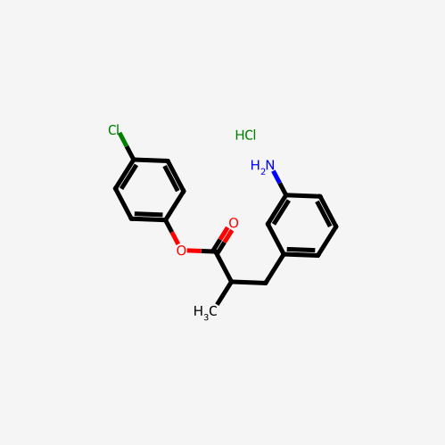 CC(Cc1cccc(N)c1)C(=O)Oc1ccc(Cl)cc1.Cl